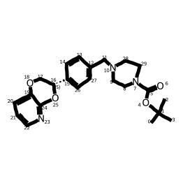 CC(C)(C)OC(=O)N1CCN(Cc2ccc([C@H]3COc4cccnc4O3)cc2)CC1